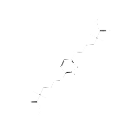 COC(=O)C(C)(C)CCCSc1ccc(SCCCC(C)(C)C(=O)OC)nn1